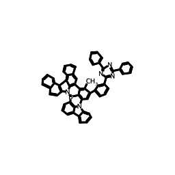 Cc1c(-c2cccc(-c3nc(-c4ccccc4)nc(-c4ccccc4)n3)c2)cc2c3c1-c1cc4ccccc4c4c5c6ccccc6ccc5n(c14)B3c1cccc3c4ccccc4n-2c13